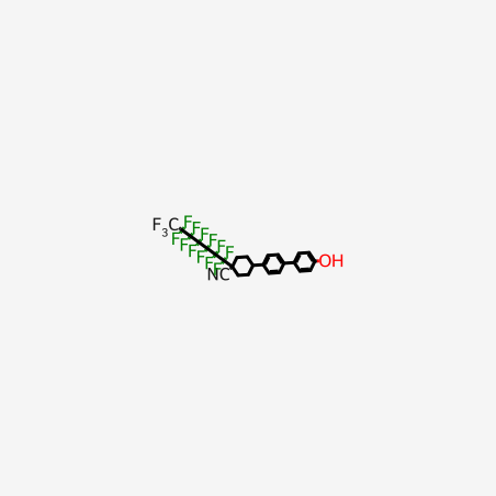 N#CC1(C(F)(F)C(F)(F)C(F)(F)C(F)(F)C(F)(F)C(F)(F)C(F)(F)F)CCC(c2ccc(-c3ccc(O)cc3)cc2)CC1